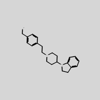 OCc1ccc(CCN2CCC(N3CCc4ccccc43)CC2)cc1